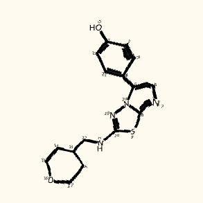 Oc1ccc(-c2cnc3sc(NCC4CCOCC4)nn23)cc1